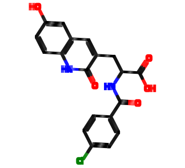 O=C(NC(Cc1cc2cc(O)ccc2[nH]c1=O)C(=O)O)c1ccc(Cl)cc1